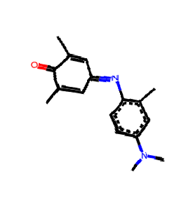 CC1=CC(=Nc2ccc(N(C)C)cc2C)C=C(C)C1=O